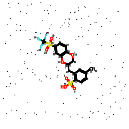 Cc1ccc(S(=O)(=O)O)c(C[C@@H]2COc3ccc(S(=O)(=O)C(F)(F)F)cc3O2)c1